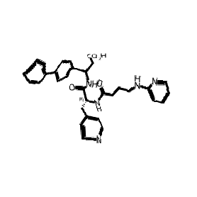 O=C(O)CC(NC(=O)[C@@H](Cc1ccncc1)NC(=O)CCCNc1ccccn1)c1ccc(-c2ccccc2)cc1